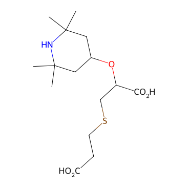 CC1(C)CC(OC(CSCCC(=O)O)C(=O)O)CC(C)(C)N1